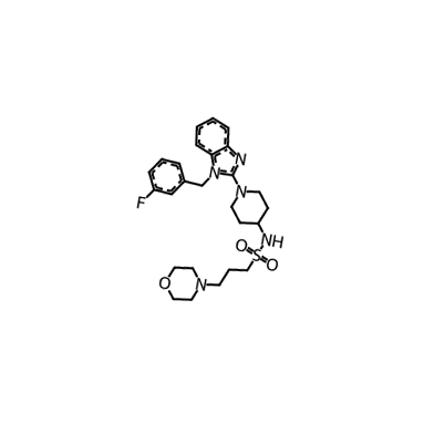 O=S(=O)(CCCN1CCOCC1)NC1CCN(c2nc3ccccc3n2Cc2cccc(F)c2)CC1